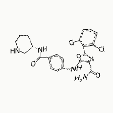 NC(=O)c1nc(-c2c(Cl)cccc2Cl)oc1Nc1ccc(C(=O)N[C@H]2CCCNC2)cc1